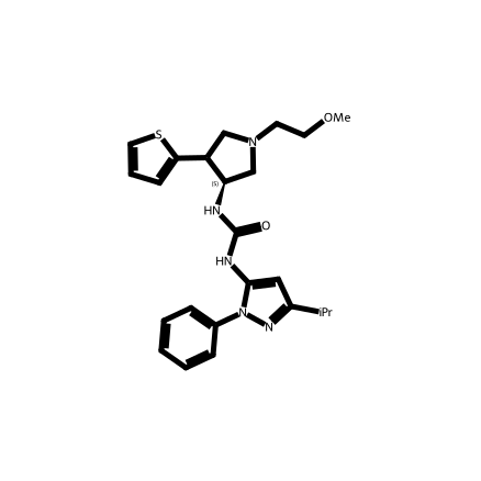 COCCN1CC(c2cccs2)[C@H](NC(=O)Nc2cc(C(C)C)nn2-c2ccccc2)C1